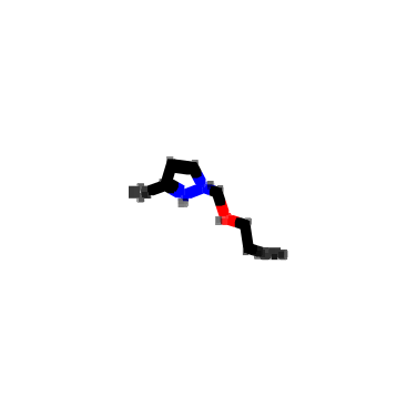 COCCOCn1ccc(C)n1